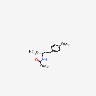 COC(=O)N[C@@H](CCc1ccc(OC)cc1)C(=O)O